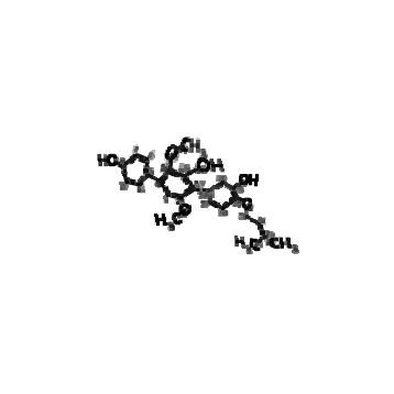 COc1cc(-c2ccc(O)cc2)c(OC)c(O)c1-c1ccc(OCC=C(C)C)c(O)c1